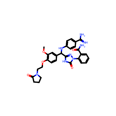 COc1cc(C(Nc2ccc(C(=N)N)cc2)c2nn(-c3ccccc3C(N)=O)c(=O)[nH]2)ccc1OCCN1CCCC1=O